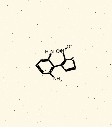 Nc1cccc(N)c1-c1ccsc1[N+](=O)[O-]